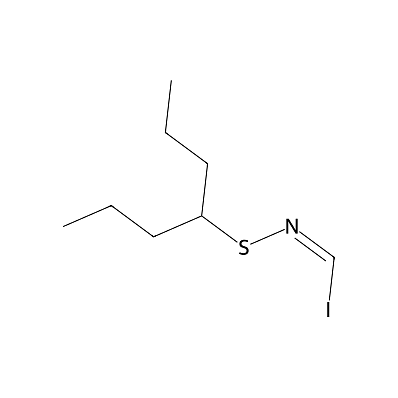 CCCC(CCC)S/N=C\I